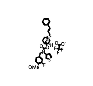 COc1ccc(CN(C(=O)O[C@H]2C[N+]3(CC=Cc4ccccc4)CCC2CC3)c2ccsc2)cc1F.O=C([O-])C(F)(F)F